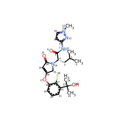 CC(C)C[C@@H](C(=O)Nc1ccn(C)n1)N1CC(Oc2cccc(C(C)(C)O)c2F)=CC1=O